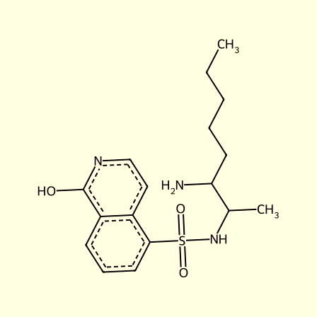 CCCCCC(N)C(C)NS(=O)(=O)c1cccc2c(O)nccc12